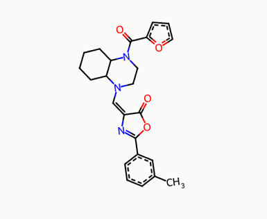 Cc1cccc(C2=NC(=CN3CCN(C(=O)c4ccco4)C4CCCCC43)C(=O)O2)c1